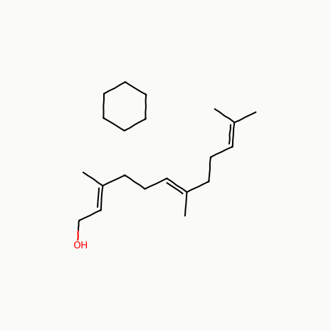 C1CCCCC1.CC(C)=CCCC(C)=CCCC(C)=CCO